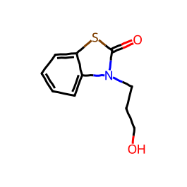 O=c1sc2ccccc2n1CCCO